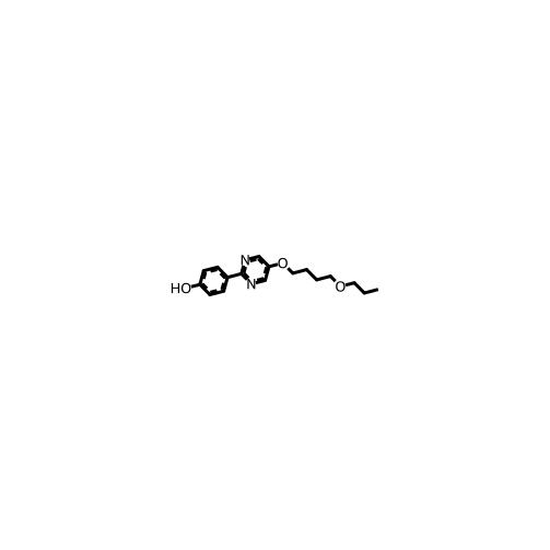 CCCOCCCCOc1cnc(-c2ccc(O)cc2)nc1